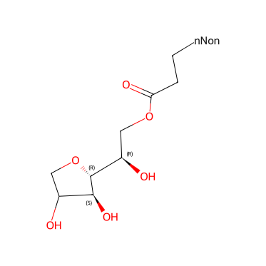 CCCCCCCCCCCC(=O)OC[C@@H](O)[C@H]1OCC(O)[C@@H]1O